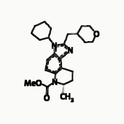 COC(=O)N1c2ccc3c(nc(CC4CCOCC4)n3C3CCCCC3)c2CC[C@@H]1C